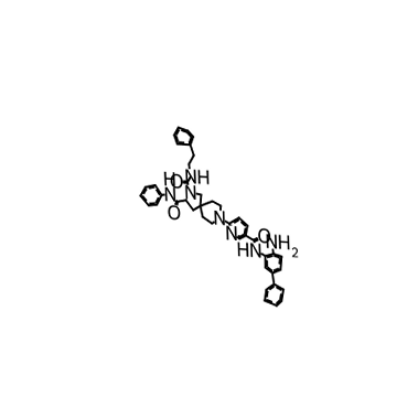 Nc1ccc(-c2ccccc2)cc1NC(=O)c1ccc(N2CCC3(CC2)CC(C(=O)Nc2ccccc2)N(C(=O)NCCc2ccccc2)C3)nc1